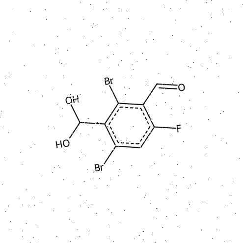 O=Cc1c(F)cc(Br)c(C(O)O)c1Br